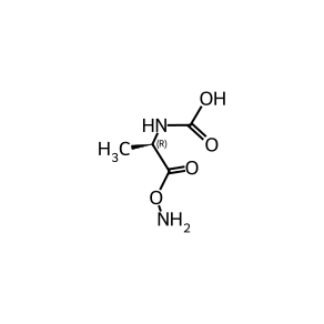 C[C@@H](NC(=O)O)C(=O)ON